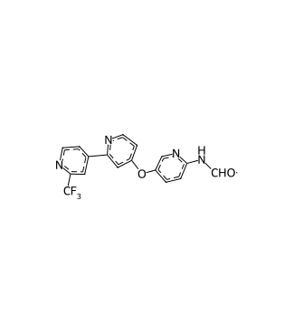 O=[C]Nc1ccc(Oc2ccnc(-c3ccnc(C(F)(F)F)c3)c2)cn1